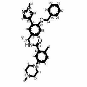 Cc1ccc(N2CCN(C)CC2)cc1C(=O)N[C@H](C)c1ccc(OCc2ccccc2)c(-c2cnn(C)c2)c1